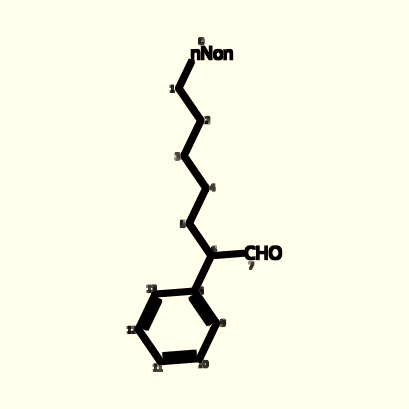 CCCCCCCCCCCCCCC(C=O)c1ccccc1